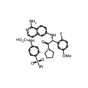 COc1ccc(F)c([C@H](Nc2ccc3c(N)nccc3c2)C(=O)N2CCC[C@@H]2c2cc(NC(=O)O)ccc2S(=O)(=O)C(C)C)c1